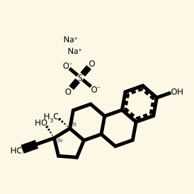 C#C[C@]1(O)CCC2C3CCc4cc(O)ccc4C3CC[C@@]21C.O=S(=O)([O-])[O-].[Na+].[Na+]